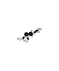 CCCOc1cccc(-c2cc(F)c(OCCCC(=O)O)c(F)c2)c1OCCC